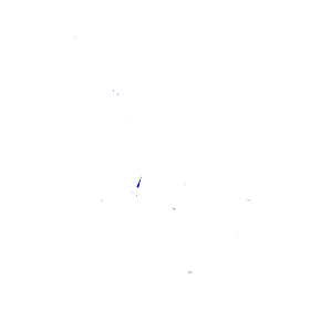 CC(C)(C)N(C(=O)O)[C@H]1CC(N2CCOCC2)=CO[C@@H]1c1cc(F)ccc1F